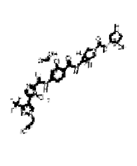 C#CCn1cc(-c2cnc(C(=O)Nc3ccc(C(=O)NC4[C@H]5CN(C(=O)N[C@@H]6CNC[C@H]6O)C[C@@H]45)c(Cl)c3)n2C)c(C(F)(F)F)n1.O=CO